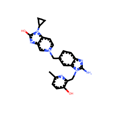 Cc1ccc(O)c(Cn2c(N)nc3ccc(C[n+]4ccc5c(c4)nc(O)n5C4CC4)cc32)n1